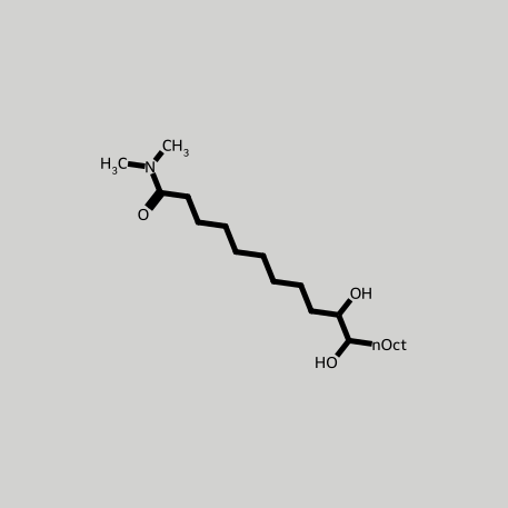 CCCCCCCCC(O)C(O)CCCCCCCCC(=O)N(C)C